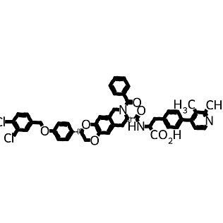 Cc1nccc(-c2ccc(CC(NC(=O)[C@@H]3Cc4cc5c(cc4CN3C(=O)c3ccccc3)O[C@@H](c3ccc(OCc4ccc(Cl)c(Cl)c4)cc3)CO5)C(=O)O)cc2)c1C